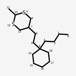 CCCCC1(CCC2CSC(C)SC2)CCCCC1